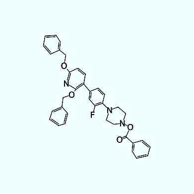 O=C(ON1CCN(c2ccc(-c3ccc(OCc4ccccc4)nc3OCc3ccccc3)cc2F)CC1)c1ccccc1